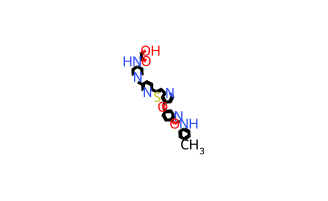 Cc1ccc(Nc2nc3cc(Oc4ccnc5cc(-c6ccc(CN7CCC(NC(=O)CO)CC7)cn6)sc45)ccc3o2)cc1